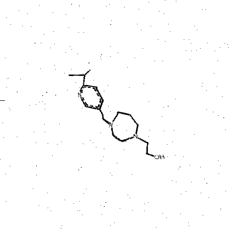 CC(C)c1ccc(CN2CCCN(CCO)CC2)cn1